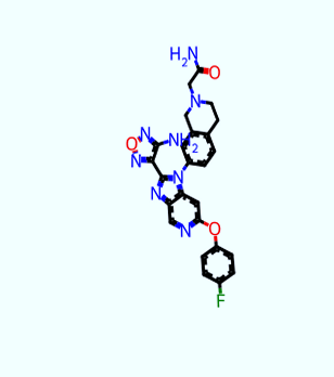 NC(=O)CN1CCc2ccc(-n3c(-c4nonc4N)nc4cnc(Oc5ccc(F)cc5)cc43)cc2C1